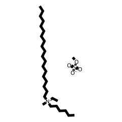 CCCCCCCCCCCCCCCCCCC[N+](C)(CC)CCCCCC.COS(=O)(=O)[O-]